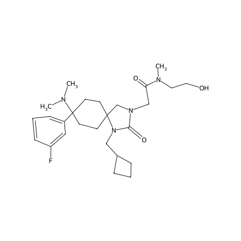 CN(CCO)C(=O)CN1CC2(CCC(c3cccc(F)c3)(N(C)C)CC2)N(CC2CCC2)C1=O